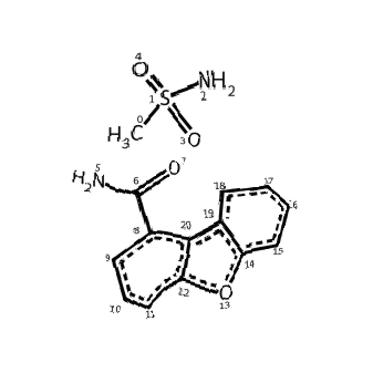 CS(N)(=O)=O.NC(=O)c1cccc2oc3ccccc3c12